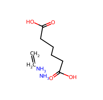 C=C.N.N.O=C(O)CCCCC(=O)O